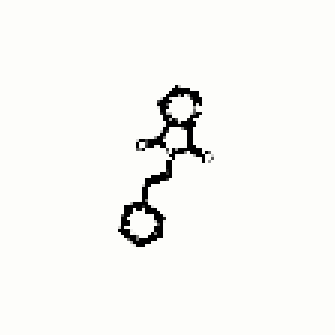 O=C1c2ccccc2C(=O)N1/C=C/c1ccccc1